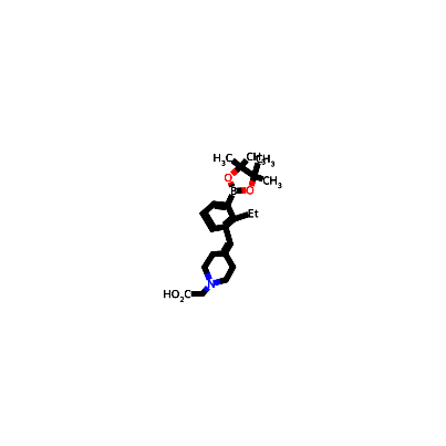 CCc1c(C=C2CCN(CC(=O)O)CC2)cccc1B1OC(C)(C)C(C)(C)O1